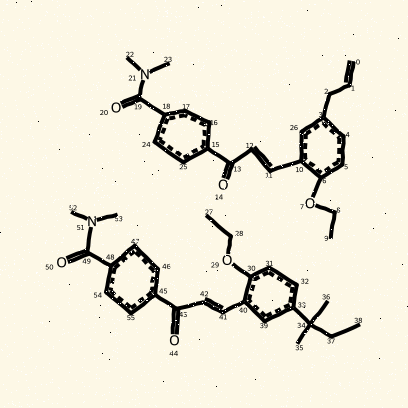 C=CCc1ccc(OCC)c(C=CC(=O)c2ccc(C(=O)N(C)C)cc2)c1.CCOc1ccc(C(C)(C)CC)cc1C=CC(=O)c1ccc(C(=O)N(C)C)cc1